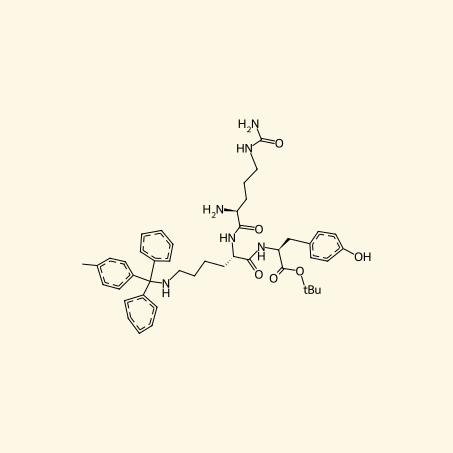 Cc1ccc(C(NCCCC[C@H](NC(=O)[C@@H](N)CCCNC(N)=O)C(=O)N[C@@H](Cc2ccc(O)cc2)C(=O)OC(C)(C)C)(c2ccccc2)c2ccccc2)cc1